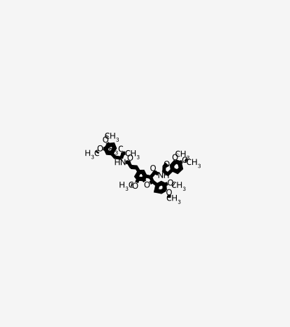 COc1ccc(CC(C=O)NC(=O)C2c3cc(/C=C/C(=O)NC(Cc4ccc(OC)c(OC)c4)C(C)C)cc(OC)c3OC2c2ccc(OC)c(OC)c2)cc1OC